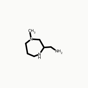 CN1CCCNC(CN)C1